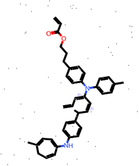 C=C/C=C(\C=C/C(C)c1ccc(NC2=CC=C(C)CC=C2)cc1)N(c1ccc(C)cc1)c1ccc(CCCOC(=O)C=C)cc1